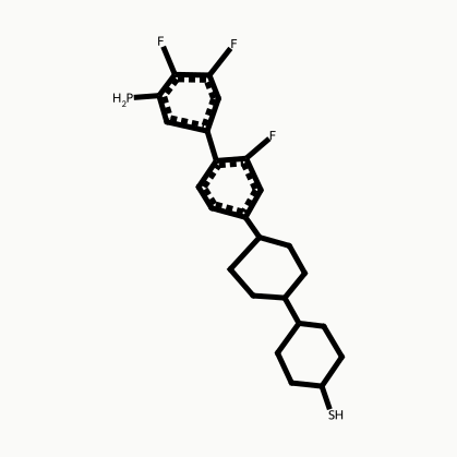 Fc1cc(C2CCC(C3CCC(S)CC3)CC2)ccc1-c1cc(F)c(F)c(P)c1